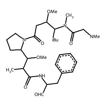 CCC(C)C(C(CC(=O)N1CCCC1C(OC)C(C)C(=O)NC(C=O)Cc1ccccc1)OC)N(C)C(=O)CNC